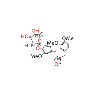 COc1ccc(CC2=COC[C@@H]2Cc2ccc(O[C@H]3O[C@H](C)[C@@H](O)[C@H](O)[C@H]3O)c(OC)c2)cc1OC